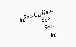 [Ga+3].[Ga+3].[In].[In].[Se-2].[Se-2].[Se-2]